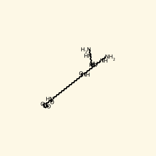 NCCCNCCCCNCC(CCCCCCNC(=O)CCCCCCCCCCCCCCCCCCCCCCCNC(=O)CCCN1C(=O)C=CC1=O)CNCCCCNCCCN